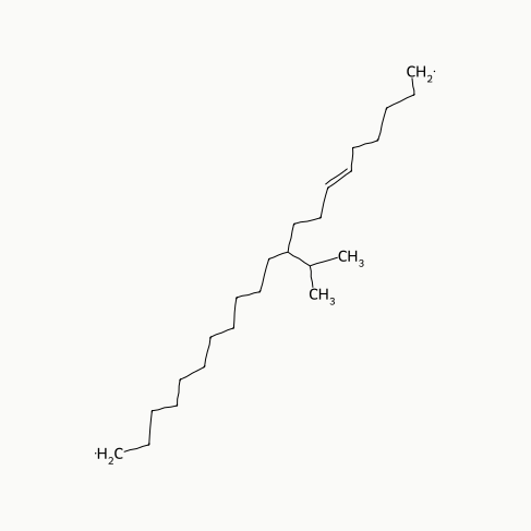 [CH2]CCCCC=CCCC(CCCCCCCCCC[CH2])C(C)C